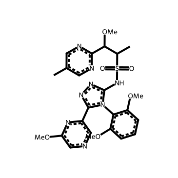 COc1cncc(-c2nnc(NS(=O)(=O)C(C)C(OC)c3ncc(C)cn3)n2-c2c(OC)cccc2OC)n1